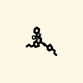 CCCc1ccc(C#C/C(=C/C(F)(F)C(=O)c2ccccc2)c2ccc(CCC)cc2)cc1